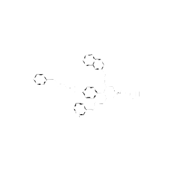 O=C(O)N1CC(COCc2cccnc2)C(c2ccc(COCCOCc3ccccc3)cc2)C(OCc2ccc3ccccc3c2)C1